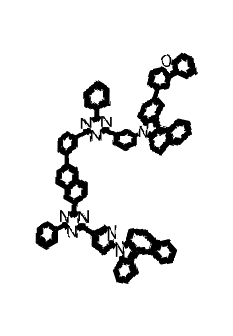 c1ccc(-c2nc(-c3cccc(-c4ccc5cc(-c6nc(-c7ccccc7)nc(-c7ccc(-n8c9ccccc9c9c%10ccccc%10ccc98)nc7)n6)ccc5c4)c3)nc(-c3cccc(-n4c5ccc(-c6ccc7oc8ccccc8c7c6)cc5c5c6ccccc6ccc54)c3)n2)cc1